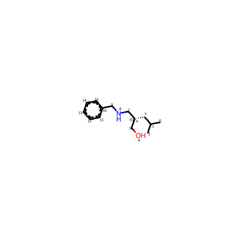 CC(C)C[C@H](CO)CNCc1ccccc1